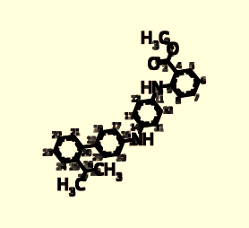 COC(=O)c1ccccc1Nc1ccc(Nc2ccc(-c3ccccc3C(C)C)cc2)cc1